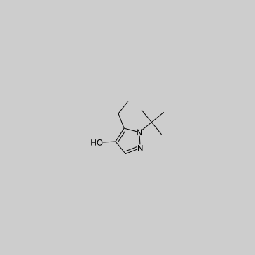 CCc1c(O)cnn1C(C)(C)C